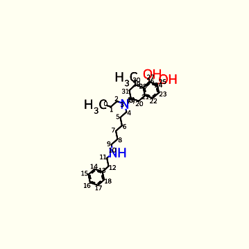 CCCN(CCCCCCNCCc1ccccc1)[C@@H]1Cc2ccc(O)c(O)c2C(C)C1